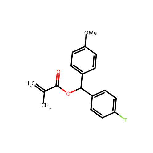 C=C(C)C(=O)OC(c1ccc(F)cc1)c1ccc(OC)cc1